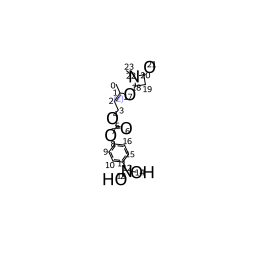 C/C(=C/COC(=O)Oc1ccc(N(O)O)cc1)OC1CC(=O)N1C